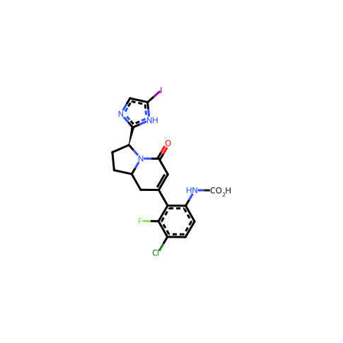 O=C(O)Nc1ccc(Cl)c(F)c1C1=CC(=O)N2C(CC[C@H]2c2ncc(I)[nH]2)C1